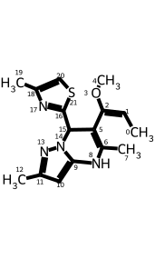 C/C=C(/OC)C1=C(C)Nc2cc(C)nn2C1c1nc(C)cs1